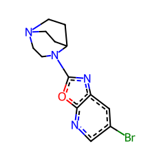 Brc1cnc2oc(N3CCN4CCC3CC4)nc2c1